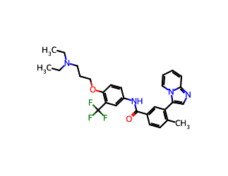 CCN(CC)CCCOc1ccc(NC(=O)c2ccc(C)c(-c3cnc4ccccn34)c2)cc1C(F)(F)F